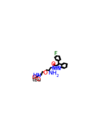 CC(C)(C)OC(=O)NCCOC[C@H](N)CNC(=O)c1[nH]c2ccccc2c1-c1ccc(F)cc1